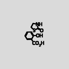 O=C(O)c1ccccc1O.O=C1NCCS1